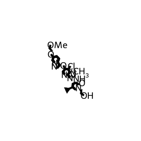 COCCOc1ccc2c(Oc3cnc4nc(Nc5cc(C6CC6)cn(CCO)c5=O)n(C)c4c3Cl)cnn2c1